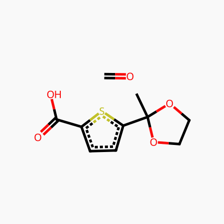 C=O.CC1(c2ccc(C(=O)O)s2)OCCO1